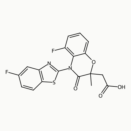 CC1(CC(=O)O)Oc2cccc(F)c2N(c2nc3cc(F)ccc3s2)C1=O